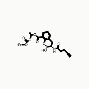 C#CCCC(=O)N[C@H]1Cc2cccc(C(=O)OC(C)OC(=O)OC(C)C)c2OB1O